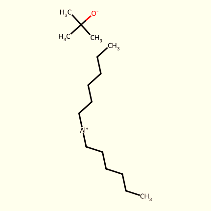 CC(C)(C)[O-].CCCCC[CH2][Al+][CH2]CCCCC